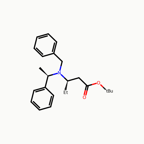 CC[C@H](CC(=O)OC(C)(C)C)N(Cc1ccccc1)[C@H](C)c1ccccc1